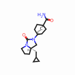 NC(=O)C12CCC(N3C[C@@]4(CC5CC5)CCCN4C3=O)(CC1)CC2